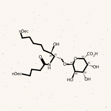 CCCCCCCCCCCCCCC[C@@H](O)[C@H](CO[C@H]1O[C@H](C(=O)O)[C@H](O)[C@H](O)[C@H]1O)NC(=O)CCCCCCCCCCCCC